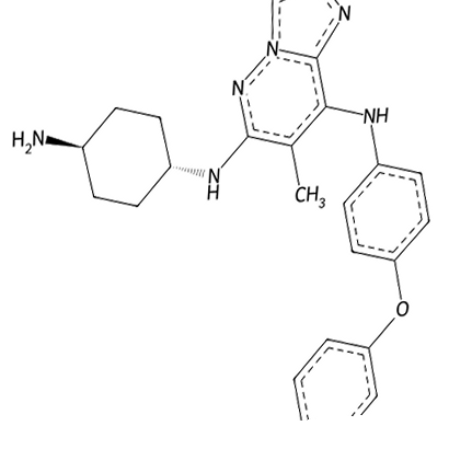 Cc1c(N[C@H]2CC[C@H](N)CC2)nn2ccnc2c1Nc1ccc(Oc2ccccc2)cc1